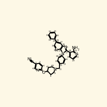 N#Cc1ccc(OC2CCN(Cc3ccc(-n4c(-c5cccnc5N)nc5cc(-c6ccccc6)cnc54)cc3)CC2)nc1